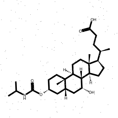 CC(C)NC(=O)O[C@@H]1CC[C@@]2(C)[C@@H](C1)C[C@@H](O)[C@@H]1[C@@H]2CC[C@]2(C)[C@@H]([C@H](C)CCC(=O)O)CC[C@@H]12